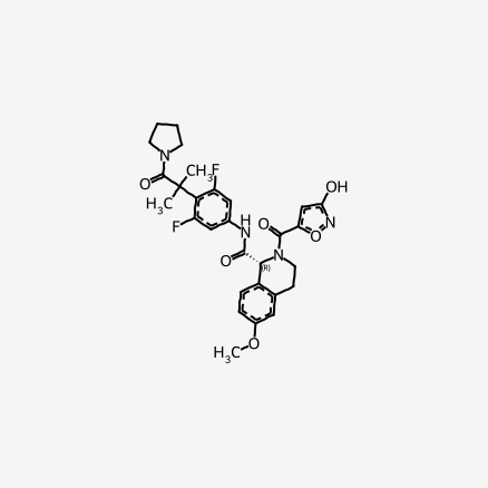 COc1ccc2c(c1)CCN(C(=O)c1cc(O)no1)[C@H]2C(=O)Nc1cc(F)c(C(C)(C)C(=O)N2CCCC2)c(F)c1